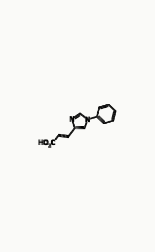 O=C(O)C=Cc1cn(-c2ccccc2)cn1